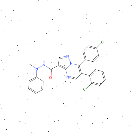 CN(NC(=O)c1cnn2c(-c3ccc(Cl)cc3)c(-c3ccccc3Cl)cnc12)c1ccccc1